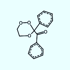 O=C(c1ccccc1)C1(c2ccccc2)OCCOO1